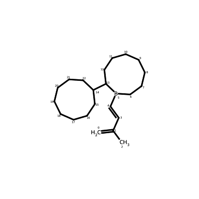 C=C(C)C=CB1CCCCCCCC1C1CCCCCCCC1